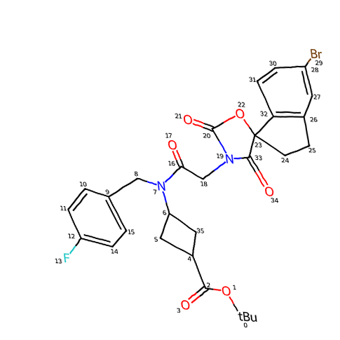 CC(C)(C)OC(=O)C1CC(N(Cc2ccc(F)cc2)C(=O)CN2C(=O)OC3(CCc4cc(Br)ccc43)C2=O)C1